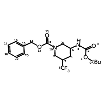 CC(C)(C)OC(=O)NC1CC(C(F)(F)F)CN(C(=O)OCc2ccccc2)C1